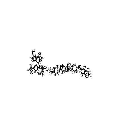 Cn1cc(-c2cc(S(C)(=O)=O)ccc2OC(CCCCN2CCN(c3ccc(C(=O)NC4CCC(Oc5ccc(C#N)c(Cl)c5)CC4)nn3)CC2)C2CC2)c2cc[nH]c2c1=O